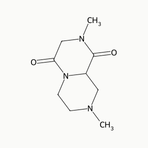 CN1CCN2C(=O)CN(C)C(=O)C2C1